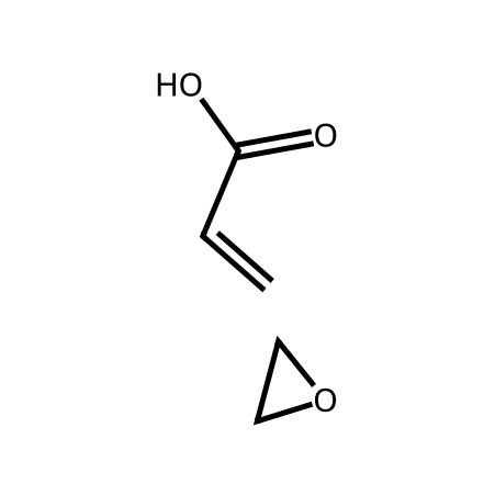 C1CO1.C=CC(=O)O